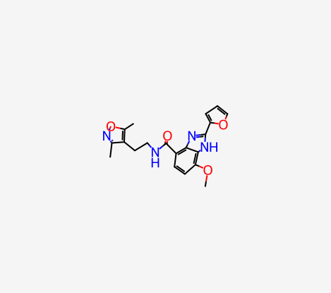 COc1ccc(C(=O)NCCc2c(C)noc2C)c2nc(-c3ccco3)[nH]c12